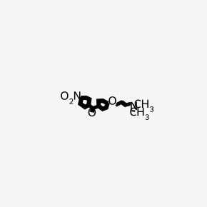 CN(C)CC=CCOc1ccc(C(=O)c2ccc([N+](=O)[O-])cc2)cc1